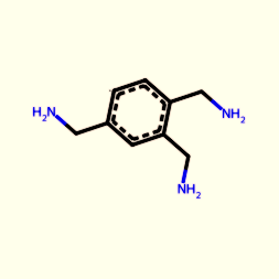 NCc1[c]cc(CN)c(CN)c1